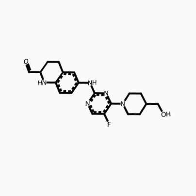 O=CC1CCc2cc(Nc3ncc(F)c(N4CCC(CO)CC4)n3)ccc2N1